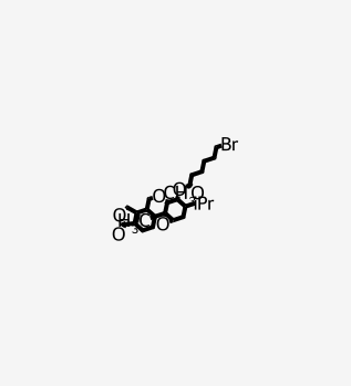 CC(C)C1CC2OC23C2(C)CCC4=C(COC4=O)C2COC3(C)C1OC(=O)CCCCCBr